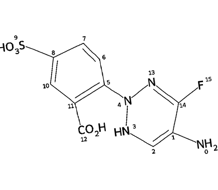 NC1=CNN(c2ccc(S(=O)(=O)O)cc2C(=O)O)N=C1F